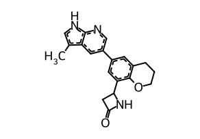 Cc1c[nH]c2ncc(-c3cc4c(c(C5CC(=O)N5)c3)OCCC4)cc12